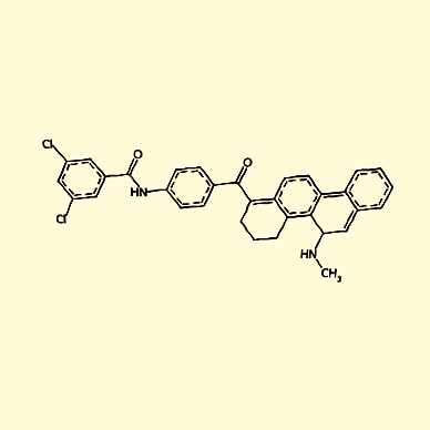 CNC1C=c2ccccc2=c2ccc3c(c21)CCCC=3C(=O)c1ccc(NC(=O)c2cc(Cl)cc(Cl)c2)cc1